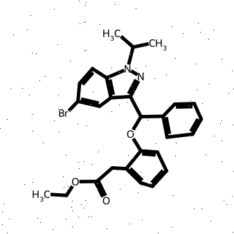 CCOC(=O)Cc1ccccc1OC(c1ccccc1)c1nn(C(C)C)c2ccc(Br)cc12